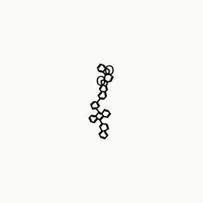 c1cc(-c2ccc3cc4c(cc3c2)oc2c4ccc3oc4ccccc4c32)cc(-c2c3ccccc3c(-c3ccc4ccccc4c3)c3ccccc23)c1